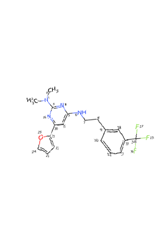 CN(C)c1nc(NCCc2cccc(C(F)(F)F)c2)cc(-c2ccco2)n1